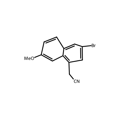 COc1ccc2cc(Br)cc(CC#N)c2c1